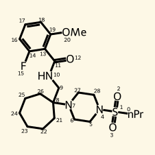 CCCS(=O)(=O)N1CCN(C2(CNC(=O)c3c(F)cccc3OC)CCCCCC2)CC1